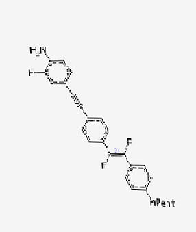 CCCCCc1ccc(/C(F)=C(\F)c2ccc(C#Cc3ccc(N)c(F)c3)cc2)cc1